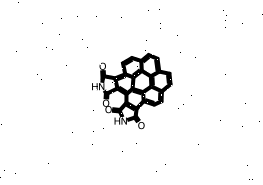 O=c1[nH]c(=O)c2c1c1ccc3ccc4ccc5ccc6c7c(=O)[nH]c(=O)c7c2c2c1c3c4c5c62